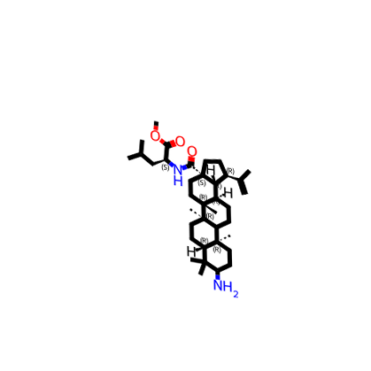 C=C(C)[C@@H]1CC[C@]2(C(=O)N[C@@H](CC(C)C)C(=O)OC)CC[C@]3(C)[C@H](CCC4[C@@]5(C)CCC(N)C(C)(C)[C@@H]5CC[C@]43C)[C@@H]12